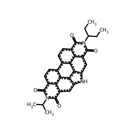 CCC(CC)n1c(=O)c2ccc3c4ccc5c(=O)n(C(C)C)c(=O)c6cc7[nH]c8cc(c1=O)c2c3c8c7c4c56